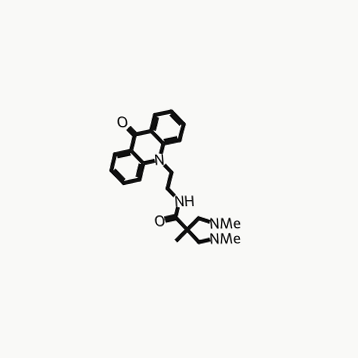 CNCC(C)(CNC)C(=O)NCCn1c2ccccc2c(=O)c2ccccc21